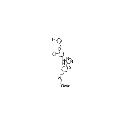 COCCN(C)CCC1CCc2c(sc3ncnc(Nc4ccc(OCc5cccc(F)c5)c(Cl)c4)c23)C1